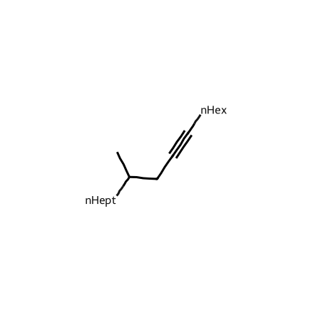 [CH2]CCCCCC#CCC(C)CCCCCC[CH2]